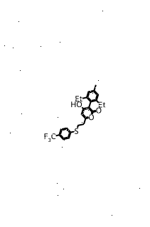 CCc1cc(C)cc(CC)c1-c1c(O)cc(CCSc2ccc(C(F)(F)F)cc2)oc1=O